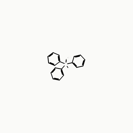 OP(O)(c1ccccc1)(c1ccccc1)c1ccccc1